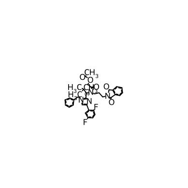 CC(=O)OCC(=O)N(CCCN1C(=O)c2ccccc2C1=O)[C@@H](c1nc(-c2cc(F)ccc2F)cn1Cc1ccccc1)C(C)(C)C